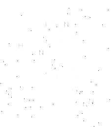 Cc1nc(-c2cccnc2C(C)C)c2n1CCN(c1ccc(-n3cnnc3)cc1)C2